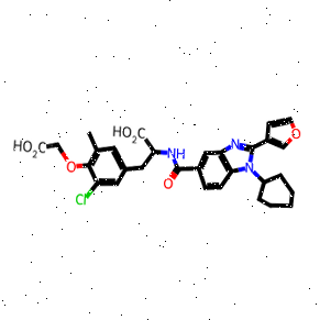 Cc1cc(CC(NC(=O)c2ccc3c(c2)nc(-c2ccoc2)n3C2CCCCC2)C(=O)O)cc(Cl)c1OCC(=O)O